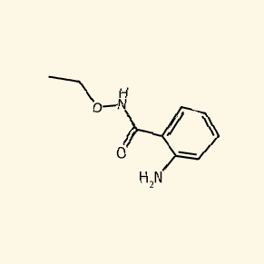 CCONC(=O)c1ccccc1N